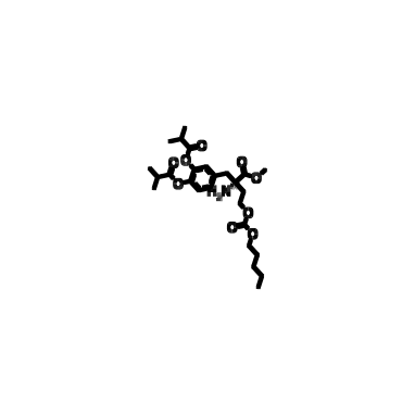 CCCCCOC(=O)OCC[C@@](N)(Cc1ccc(OC(=O)C(C)C)c(OC(=O)C(C)C)c1)C(=O)OC